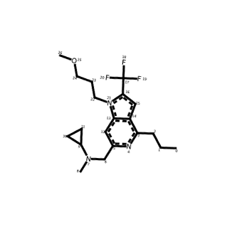 CCCc1nc(CN(C)C2CC2)cc2c1cc(C(F)(F)F)n2CCCOC